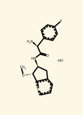 CO[C@H]1c2ccccc2C[C@@H]1NC(=O)[C@@H](N)c1ccc(F)cc1.Cl